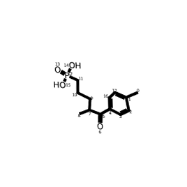 Cc1ccc(C(=O)C(C)CCCP(=O)(O)O)cc1